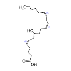 CCCCC/C=C\C/C=C\CCC(O)C/C=C\CCCC(=O)O